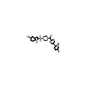 Cc1ccc(-c2cnc(C(=O)N3CCN(S(=O)(=O)c4cc5cc(Cl)ccc5[nH]4)CC3)nc2)[n+]([O-])c1